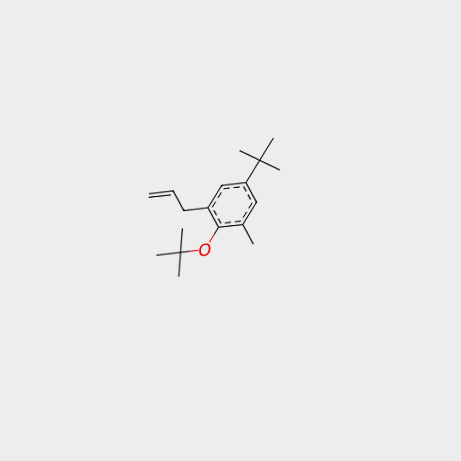 C=CCc1cc(C(C)(C)C)cc(C)c1OC(C)(C)C